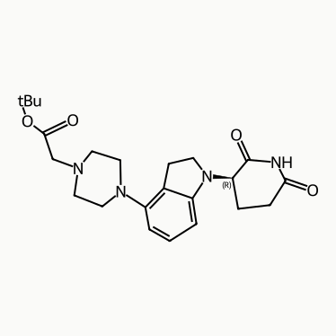 CC(C)(C)OC(=O)CN1CCN(c2cccc3c2CCN3[C@@H]2CCC(=O)NC2=O)CC1